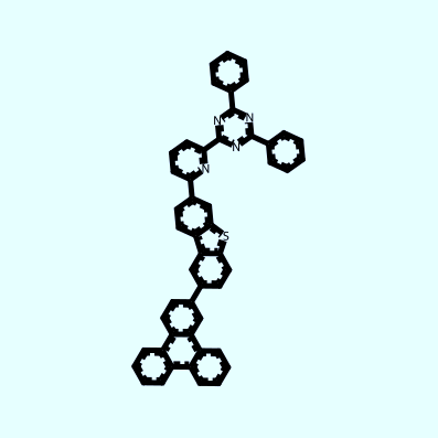 c1ccc(-c2nc(-c3ccccc3)nc(-c3cccc(-c4ccc5c(c4)sc4ccc(-c6ccc7c8ccccc8c8ccccc8c7c6)cc45)n3)n2)cc1